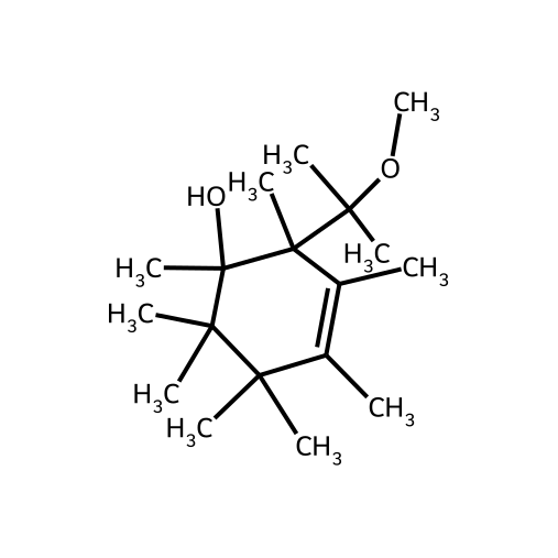 COC(C)(C)C1(C)C(C)=C(C)C(C)(C)C(C)(C)C1(C)O